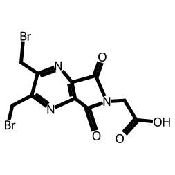 O=C(O)CN1C(=O)c2nc(CBr)c(CBr)nc2C1=O